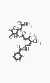 CC(CCNC(=O)c1ccccc1)C(C)CC(=O)NC1C(=O)COC1CC(N)=O